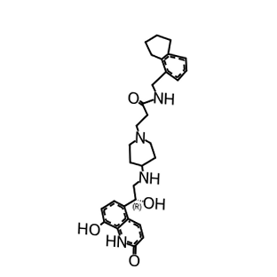 O=C(CCN1CCC(NC[C@H](O)c2ccc(O)c3[nH]c(=O)ccc23)CC1)NCc1cccc2c1CCCC2